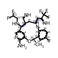 C[C@H]1Oc2cc(cnc2N)/C(NCC(F)F)=C(/C=N)C/C(=C/C(=N)C(F)(F)F)Nc2ccc(F)cc21